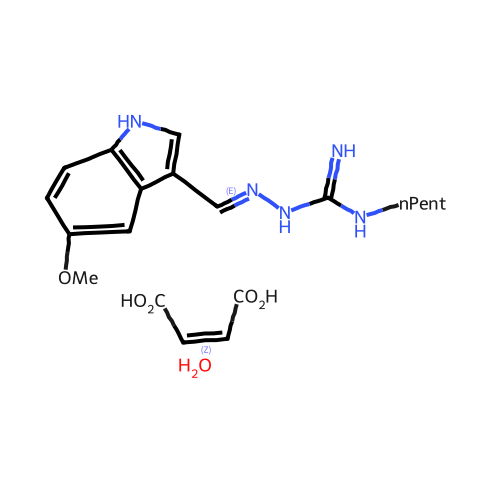 CCCCCNC(=N)N/N=C/c1c[nH]c2ccc(OC)cc12.O.O=C(O)/C=C\C(=O)O